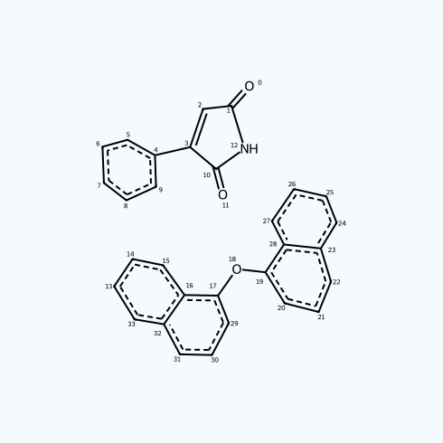 O=C1C=C(c2ccccc2)C(=O)N1.c1ccc2c(Oc3cccc4ccccc34)cccc2c1